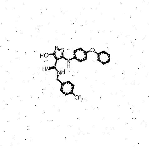 N=C(NCc1ccc(C(F)(F)F)cc1)c1c(O)nsc1Nc1ccc(Oc2ccccc2)cc1